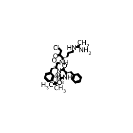 C=C(N)NCCC[C@H](NC(=O)[C@H](Cc1ccccc1)NC(=O)[C@@H](Cc1ccccc1)NC(=O)OC(C)(C)C)C(=O)CCl